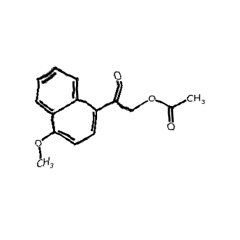 COc1ccc(C(=O)COC(C)=O)c2ccccc12